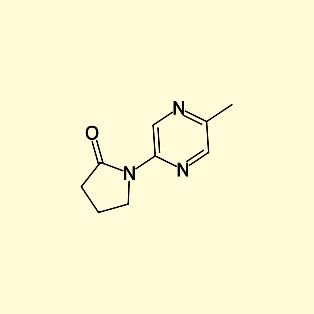 Cc1cnc(N2CCCC2=O)cn1